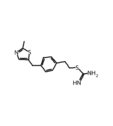 Cc1ncc(Cc2ccc(CCSC(=N)N)cc2)s1